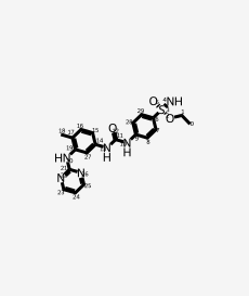 CCOS(=N)(=O)c1ccc(NC(=O)Nc2ccc(C)c(Nc3ncccn3)c2)cc1